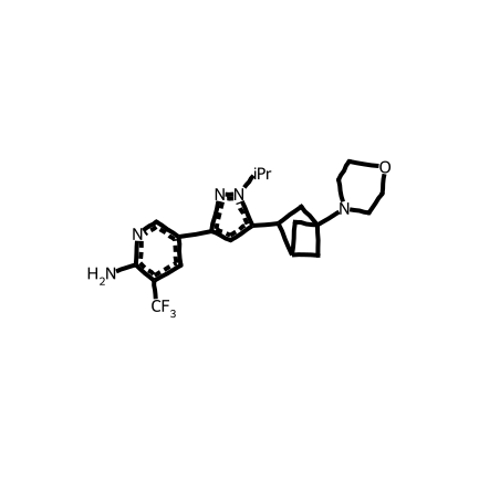 CC(C)n1nc(-c2cnc(N)c(C(F)(F)F)c2)cc1C1CC2(N3CCOCC3)CC1C2